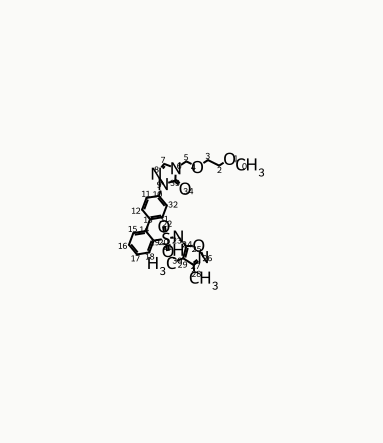 COCCOCn1cnn(-c2ccc(-c3ccccc3S(=O)(=O)Nc3onc(C)c3C)cc2)c1=O